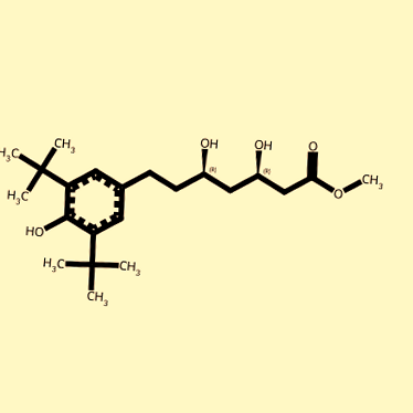 COC(=O)C[C@H](O)C[C@H](O)CCc1cc(C(C)(C)C)c(O)c(C(C)(C)C)c1